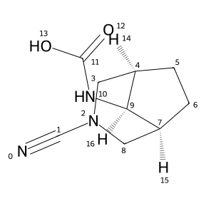 N#CN1C[C@H]2CC[C@@H](C1)[C@H]2NC(=O)O